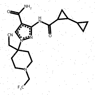 N#CCC1(n2cc(C(N)=O)c(NC(=O)C3CC3C3CC3)n2)CCN(CC(F)(F)F)CC1